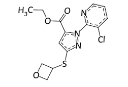 CCOC(=O)c1cc(SC2COC2)nn1-c1ncccc1Cl